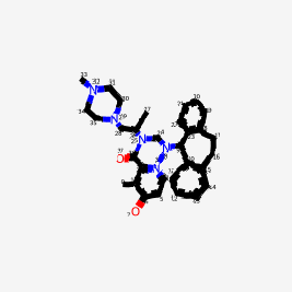 Cc1c2n(ccc1=O)N(C1c3ccccc3CCc3ccccc31)CN(C(C)CN1CCN(C)CC1)C2=O